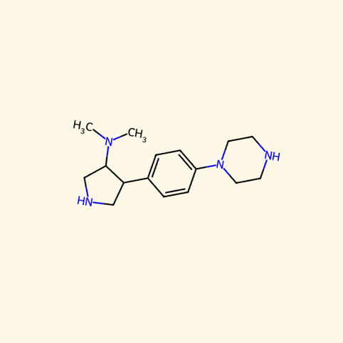 CN(C)C1CNCC1c1ccc(N2CCNCC2)cc1